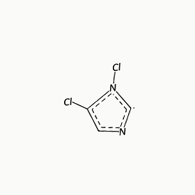 Clc1cn[c]n1Cl